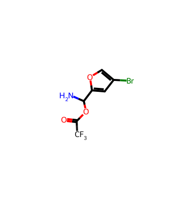 NC(OC(=O)C(F)(F)F)c1cc(Br)co1